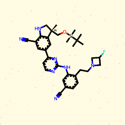 CC(C)(C)[Si](C)(C)OC[C@@]1(C)CNc2c(C#N)cc(-c3ccnc(Nc4cc(C#N)ccc4CCN4CC(F)C4)n3)cc21